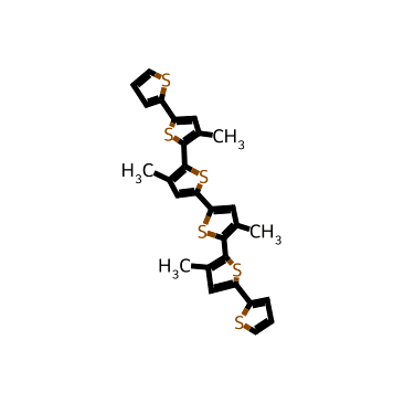 Cc1cc(-c2cccs2)sc1-c1sc(-c2cc(C)c(-c3sc(-c4cccs4)cc3C)s2)cc1C